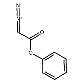 [N-]=[N+]=CC(=O)Oc1ccccc1